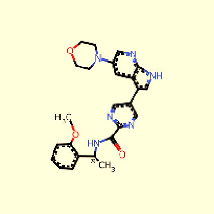 COc1ccccc1[C@H](C)NC(=O)c1ncc(-c2c[nH]c3ncc(N4CCOCC4)cc23)cn1